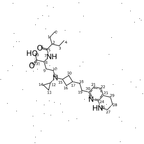 CCC(CC)C(=O)NC(CCN(C1CC1)C1CC(CCc2ccc3c(n2)NCCC3)C1)C(=O)O